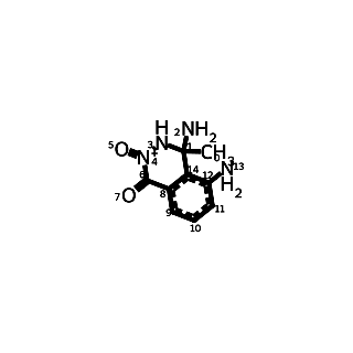 CC1(N)N[N+](=O)C(=O)c2cccc(N)c21